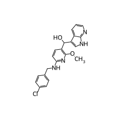 COc1nc(NCc2ccc(Cl)cc2)ccc1C(O)c1c[nH]c2ncccc12